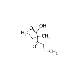 CCCC(=O)C(C)(CC)C(=O)O